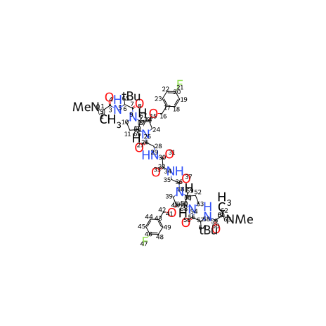 CN[C@@H](C)C(=O)NC(C(=O)N1CC[C@@H]2[C@H]1[C@@H](OCc1ccc(F)cc1)CN2C(=O)CNC(=O)C(=O)NCC(=O)N1C[C@H](OCc2ccc(F)cc2)[C@@H]2[C@H]1CCN2C(=O)C(NC(=O)[C@H](C)NC)C(C)(C)C)C(C)(C)C